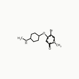 CNC1CCC(Oc2cc(=O)n(C)cc2Br)CC1